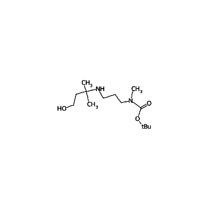 CN(CCCNC(C)(C)CCO)C(=O)OC(C)(C)C